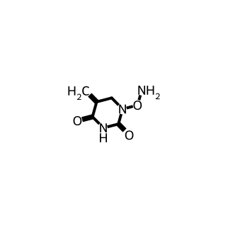 C=C1CN(ON)C(=O)NC1=O